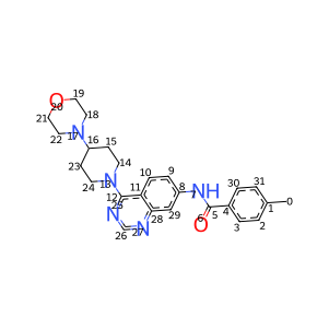 Cc1ccc(C(=O)Nc2ccc3c(N4CCC(N5CCOCC5)CC4)ncnc3c2)cc1